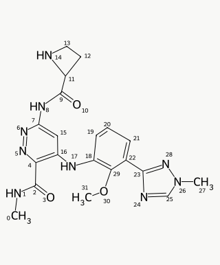 CNC(=O)c1nnc(NC(=O)C2CCN2)cc1Nc1cccc(-c2ncn(C)n2)c1OC